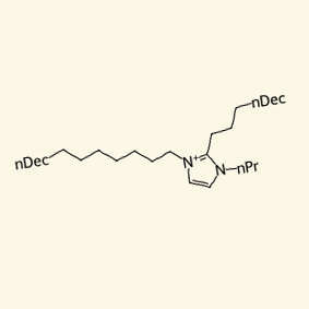 CCCCCCCCCCCCCCCCC[n+]1ccn(CCC)c1CCCCCCCCCCCCC